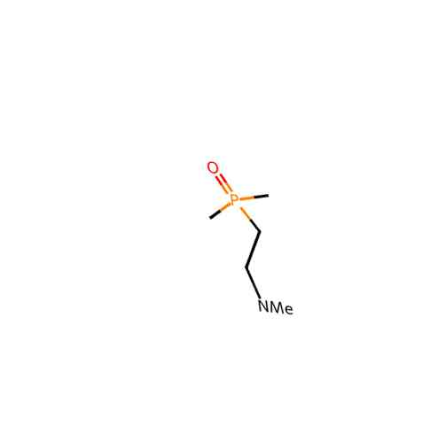 CNCCP(C)(C)=O